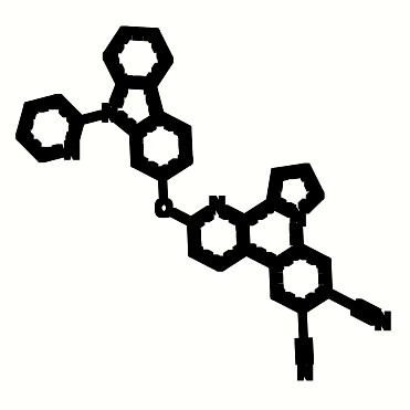 N#Cc1cc2c3ccc(Oc4ccc5c6ccccc6n(-c6ccccn6)c5c4)nc3c3cccn3c2cc1C#N